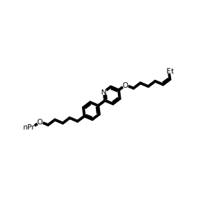 CC/C=C\CCCCOc1ccc(-c2ccc(CCCCCOCCC)cc2)nc1